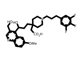 COc1ccc2ncc(CO)c(C(O)CCC3(CC(=O)O)CCN(CCCc4cc(F)c(F)c(F)c4)CC3)c2c1